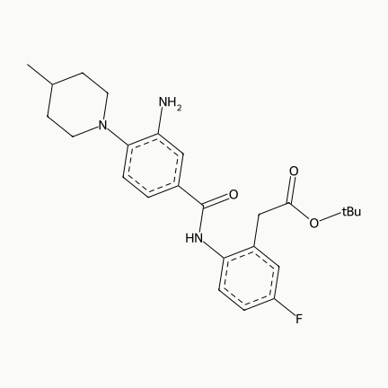 CC1CCN(c2ccc(C(=O)Nc3ccc(F)cc3CC(=O)OC(C)(C)C)cc2N)CC1